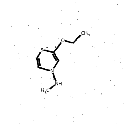 CCOC1=CN(NC)C=[C]S1